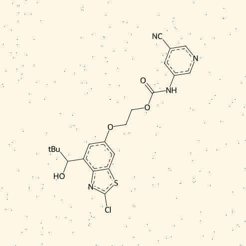 CC(C)(C)C(O)c1cc(OCCOC(=O)Nc2cncc(C#N)c2)cc2sc(Cl)nc12